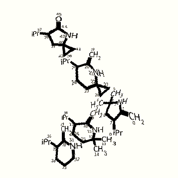 C=C1NC(C)(C)CC1C(C)C.C=C1NC(C)(C)CCC1C(C)C.C=C1NC2(CCC1C(C)C)CC2.C=C1NCCCC1C(C)C.CC(C)C1CC2(CC2)NC1=O